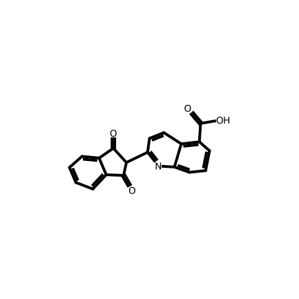 O=C(O)c1cccc2nc(C3C(=O)c4ccccc4C3=O)ccc12